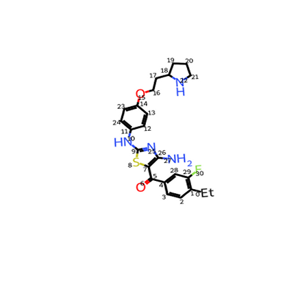 CCc1ccc(C(=O)c2sc(Nc3ccc(OCCC4CCCN4)cc3)nc2N)cc1F